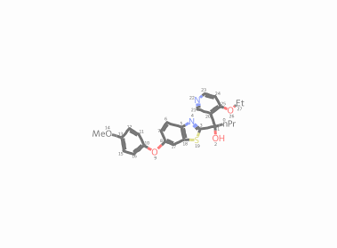 CCCC(O)(c1nc2ccc(Oc3ccc(OC)cc3)cc2s1)c1cnccc1OCC